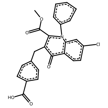 COC(=O)c1c(Cc2ccc(C(=O)O)cc2)c(=O)c2ccc(Cl)cc2n1-c1ccccc1